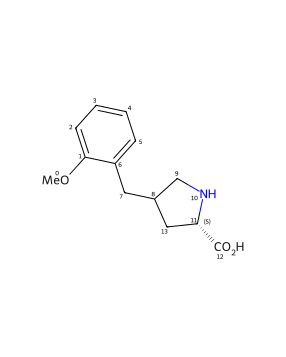 COc1ccccc1CC1CN[C@H](C(=O)O)C1